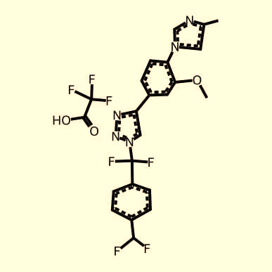 COc1cc(-c2cn(C(F)(F)c3ccc(C(F)F)cc3)nn2)ccc1-n1cnc(C)c1.O=C(O)C(F)(F)F